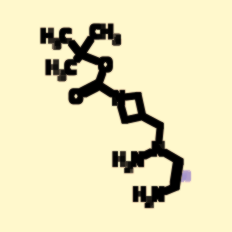 CC(C)(C)OC(=O)N1CC(CN(N)/C=C\N)C1